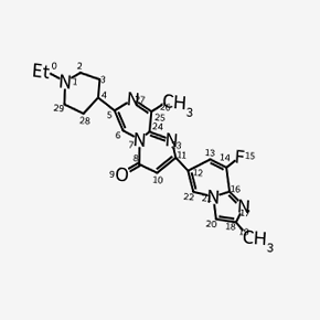 CCN1CCC(c2cn3c(=O)cc(-c4cc(F)c5nc(C)cn5c4)nc3c(C)n2)CC1